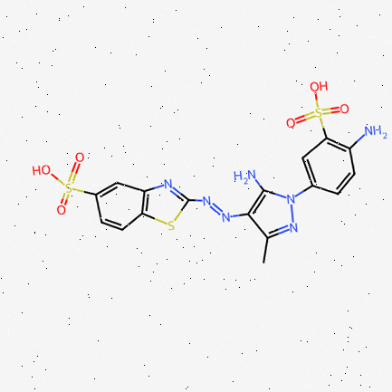 Cc1nn(-c2ccc(N)c(S(=O)(=O)O)c2)c(N)c1/N=N/c1nc2cc(S(=O)(=O)O)ccc2s1